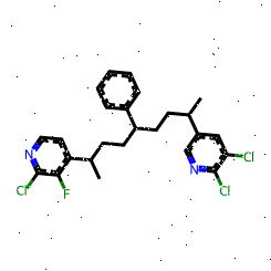 CC(CCC(CCC(C)c1ccnc(Cl)c1F)c1ccccc1)c1cnc(Cl)c(Cl)c1